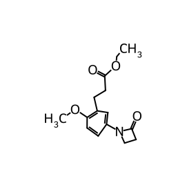 CCOC(=O)CCc1cc(N2CCC2=O)ccc1OC